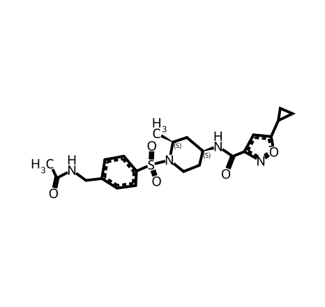 CC(=O)NCc1ccc(S(=O)(=O)N2CC[C@H](NC(=O)c3cc(C4CC4)on3)C[C@@H]2C)cc1